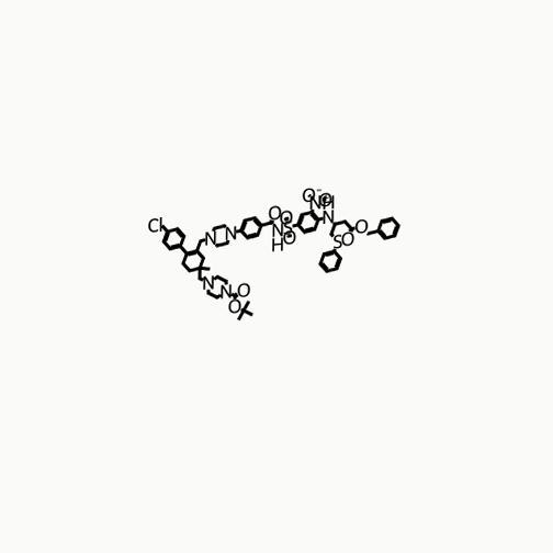 CC1(CN2CCN(C(=O)OC(C)(C)C)CC2)CCC(c2ccc(Cl)cc2)=C(CN2CCN(c3ccc(C(=O)NS(=O)(=O)c4ccc(NC(CSc5ccccc5)CC(=O)OCc5ccccc5)c([N+](=O)[O-])c4)cc3)CC2)C1